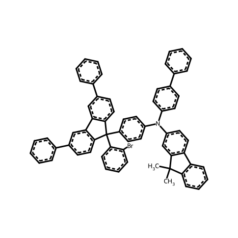 CC1(C)c2ccccc2-c2ccc(N(c3ccc(-c4ccccc4)cc3)c3ccc(C4(c5ccccc5Br)c5ccc(-c6ccccc6)cc5-c5cc(-c6ccccc6)ccc54)cc3)cc21